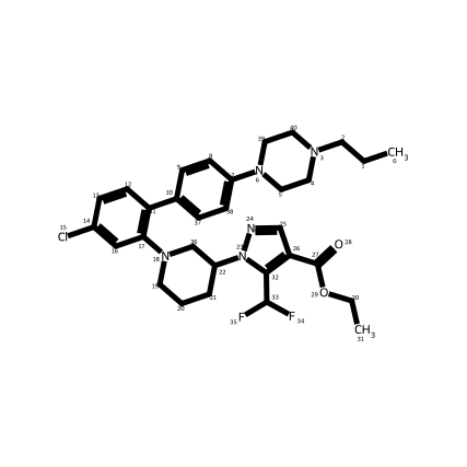 CCCN1CCN(c2ccc(-c3ccc(Cl)cc3N3CCCC(n4ncc(C(=O)OCC)c4C(F)F)C3)cc2)CC1